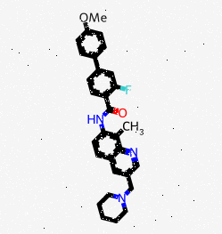 COc1ccc(-c2ccc(C(=O)Nc3ccc4cc(CN5CCCCC5)cnc4c3C)c(F)c2)cc1